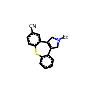 CCN1CC2=C(C1)c1cc(C#N)ccc1Sc1ccccc12